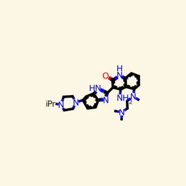 CC(C)N1CCN(c2ccc3nc(-c4c(N)c5c(N(C)CCN(C)C)cccc5[nH]c4=O)[nH]c3c2)CC1